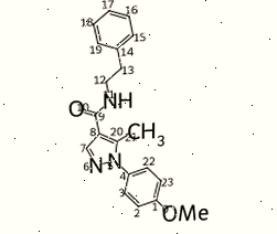 COc1ccc(-n2ncc(C(=O)NCCc3ccccc3)c2C)cc1